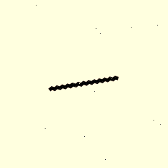 CCCCCCCCC=CCCCCCCCCCCCCCCCCC